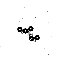 c1ccc2c(c1)oc1ccc3oc(-n4c5ccccc5c5cc6c(cc54)sc4ccccc46)nc3c12